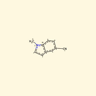 Cn1c[c]c2cc(C#N)ccc21